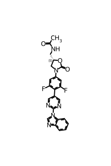 CC(=O)NC[C@H]1CN(c2cc(F)c(-c3cnc(-n4cnc5ccccc54)nc3)c(F)c2)C(=O)O1